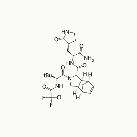 CC(C)(C)[C@H](NC(=O)C(F)(F)Cl)C(=O)N1C[C@H]2[C@@H]([C@H]1C(=O)N[C@@H](C[C@@H]1CCNC1=O)C(N)=O)[C@H]1C=C[C@@H]2C1